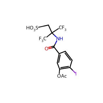 CC(=O)Oc1cc(C(=O)NC(CS(=O)(=O)O)(C(F)(F)F)C(F)(F)F)ccc1I